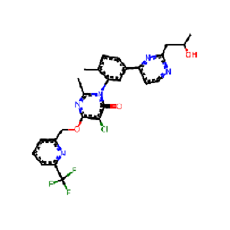 Cc1ccc(-c2ccnc(CC(C)O)n2)cc1-n1c(C)nc(OCc2cccc(C(F)(F)F)n2)c(Cl)c1=O